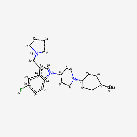 CC(C)(C)[C@H]1CC[C@@H](N2CCC(n3cc(CN4CCCC4)c4cc(F)ccc43)CC2)CC1